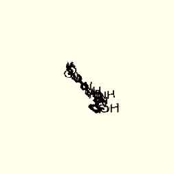 CC(C)(C)OC(=O)N1CC=C(c2ccc(N3CCN4c5cc(-c6ccccc6O)nnc5NC[C@H]4C3)nc2)CC1